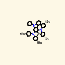 CC(C)(C)c1ccc(N2c3ccc(C(C)(C)C)cc3B3c4cc(C(C)(C)C)ccc4N(c4ccc(C(C)(C)C)cc4)c4c3c2cc2c4c3ccccc3n2-c2ccccc2)cc1